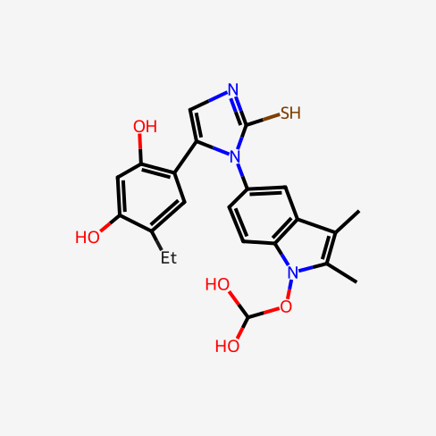 CCc1cc(-c2cnc(S)n2-c2ccc3c(c2)c(C)c(C)n3OC(O)O)c(O)cc1O